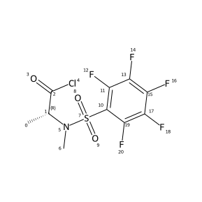 C[C@H](C(=O)Cl)N(C)S(=O)(=O)c1c(F)c(F)c(F)c(F)c1F